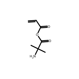 C=CC(=O)OC(=O)C(C)(C)N